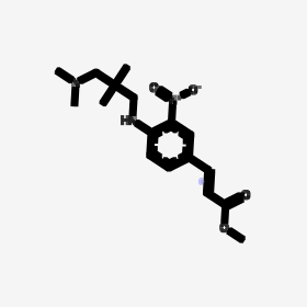 COC(=O)/C=C/c1ccc(NCC(C)(C)CN(C)C)c([N+](=O)[O-])c1